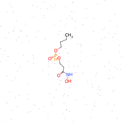 CCCCO[PH](=O)OCCC(=O)NO